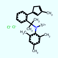 CC1=CCC(c2ccccc2C(C)(C)[N]([Ti+2])c2c(C)cc(C)cc2C)=C1.[Cl-].[Cl-]